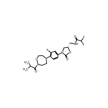 CC(C)C(=O)N1CCN(c2ccc(N3C[C@H](CNC(=O)C(F)F)OC3=O)cc2F)CCO1